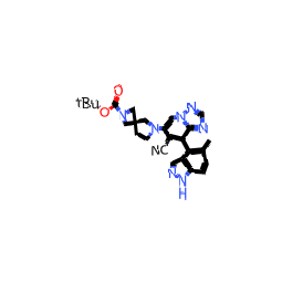 Cc1ccc2[nH]ncc2c1-c1c(C#N)c(N2CCC3(CN(C(=O)OC(C)(C)C)C3)C2)cn2ncnc12